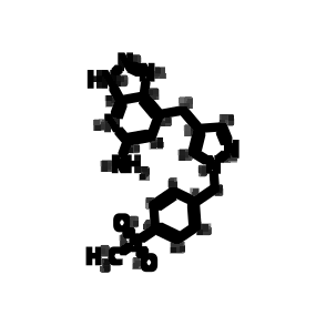 CS(=O)(=O)c1ccc(Cn2cc(Cc3cc(N)nc4[nH]nnc34)cn2)cc1